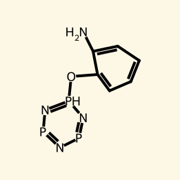 Nc1ccccc1O[PH]1=NP=NP=N1